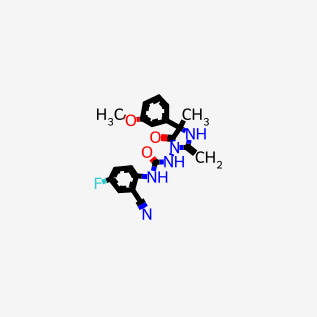 C=C1NC(C)(c2cccc(OC)c2)C(=O)N1NC(=O)Nc1ccc(F)cc1C#N